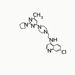 Cc1cc(N2CCN(CCNc3ccnc4cc(Cl)ccc34)CC2)nc(N2CCCC2)n1